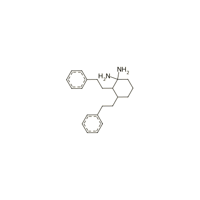 NC1(N)CCCC(CCc2ccccc2)C1CCc1ccccc1